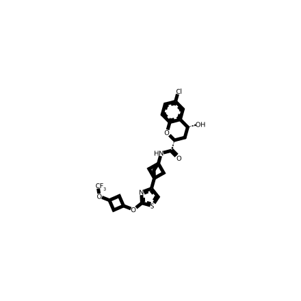 O=C(NC12CC(c3csc(OC4CC(OC(F)(F)F)C4)n3)(C1)C2)[C@H]1C[C@@H](O)c2cc(Cl)ccc2O1